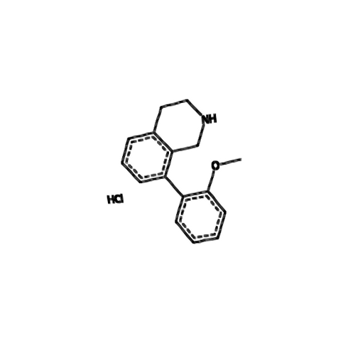 COc1ccccc1-c1cccc2c1CNCC2.Cl